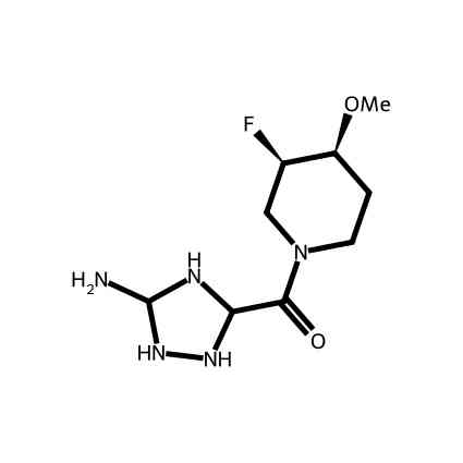 CO[C@H]1CCN(C(=O)C2NNC(N)N2)C[C@H]1F